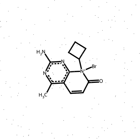 Cc1nc(N)nc2c1C=CC(=O)[N+]2(Br)C1CCC1